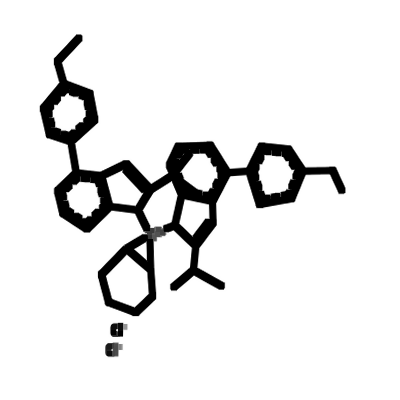 CCc1ccc(-c2cccc3c2C=C(C(C)C)[CH]3[Ti+2]2([CH]3C(C(C)C)=Cc4c(-c5ccc(CC)cc5)cccc43)[CH]3CCCC[CH]32)cc1.[Cl-].[Cl-]